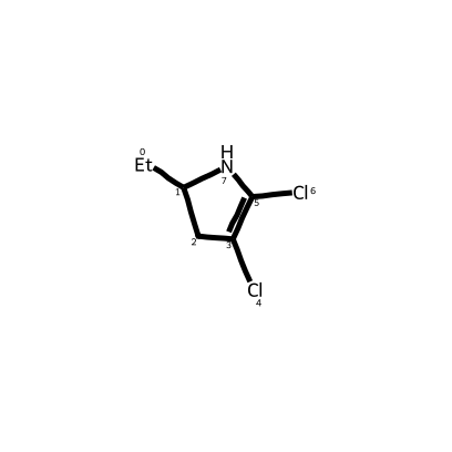 CCC1CC(Cl)=C(Cl)N1